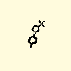 Cc1ccc(N2CCC([N+](C)(C)C)C2)cc1